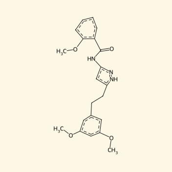 COc1cc(CCc2cc(NC(=O)c3ccccc3OC)n[nH]2)cc(OC)c1